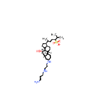 CC(C)C(CC[C@@H](C)C1CCC2C1CC[C@H]1[C@H]2[C@H](O)C[C@H]2CC(NCCCNCCCCN)CCC21C)S(=O)(=O)O